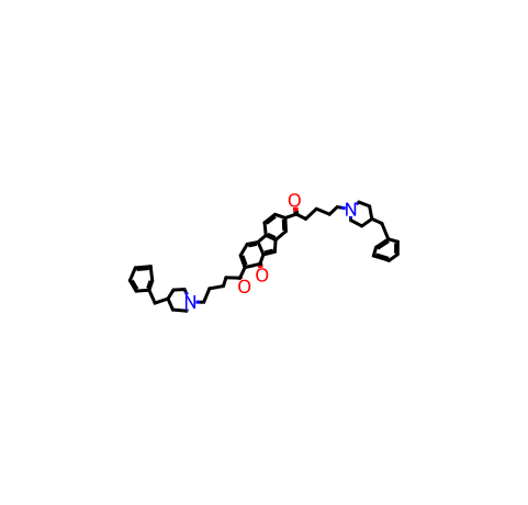 O=C(CCCCN1CCC(Cc2ccccc2)CC1)C1=CC=C2C(=Cc3cc(C(=O)CCCCN4CCC(Cc5ccccc5)CC4)ccc32)C1=O